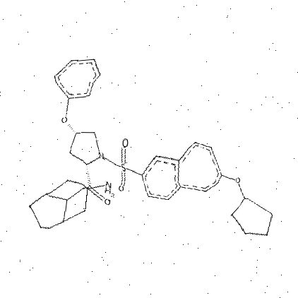 NC1CC2CCC(C1)C2C(=O)[C@@H]1C[C@H](Oc2ccccc2)CN1S(=O)(=O)c1ccc2cc(OC3CCCC3)ccc2c1